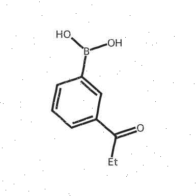 CCC(=O)c1cccc(B(O)O)c1